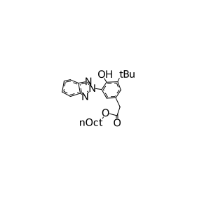 CCCCCCCCOC(=O)Cc1cc(-n2nc3ccccc3n2)c(O)c(C(C)(C)C)c1